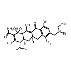 CCN(Cc1cc(O)c2c(c1C(F)(F)F)C[C@H]1C[C@H]3[C@H](N(C)C)C(O)=C(C(N)=O)C4(O)O[C@]34C(O)=C1C2=O)CC(C)(C)C